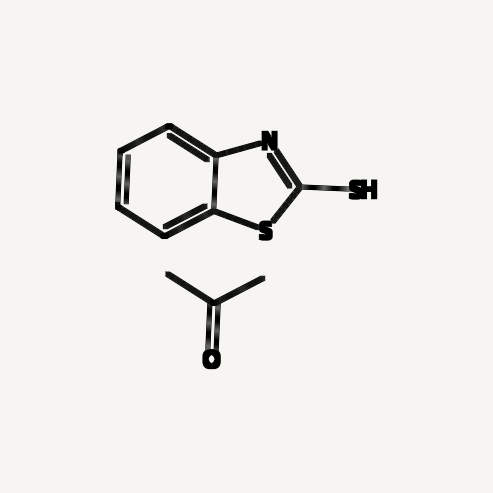 CC(C)=O.Sc1nc2ccccc2s1